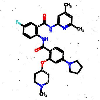 Cc1cc(C)nc(NC(=O)c2cc(F)ccc2NC(=O)c2ccc(N3CCCC3)cc2OC2CCN(C)CC2)c1